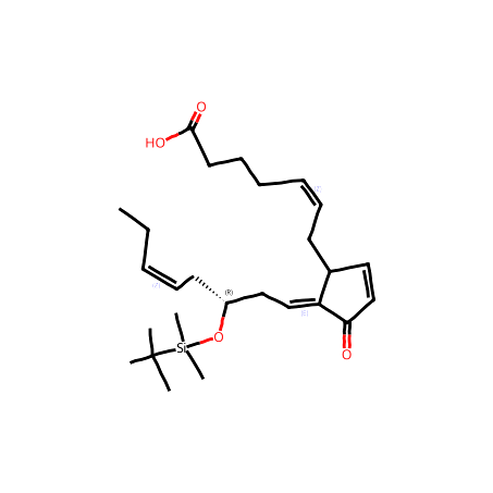 CC/C=C\C[C@H](C/C=C1/C(=O)C=CC1C/C=C\CCCC(=O)O)O[Si](C)(C)C(C)(C)C